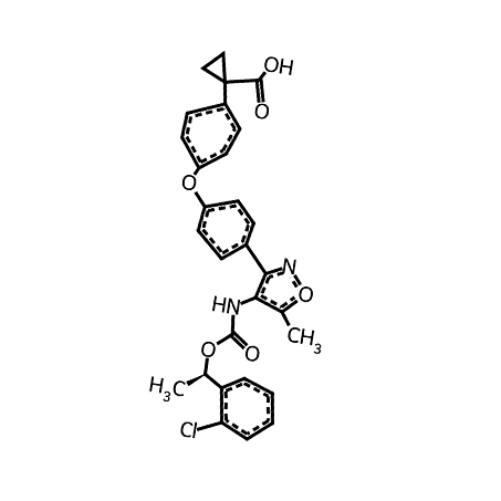 Cc1onc(-c2ccc(Oc3ccc(C4(C(=O)O)CC4)cc3)cc2)c1NC(=O)O[C@H](C)c1ccccc1Cl